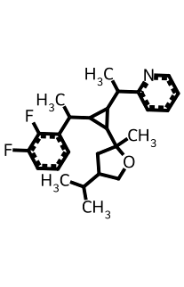 CC(C)C1COC(C)(C2C(C(C)c3ccccn3)C2C(C)c2cccc(F)c2F)C1